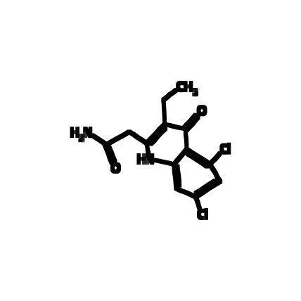 CCc1c(CC(N)=O)[nH]c2cc(Cl)cc(Cl)c2c1=O